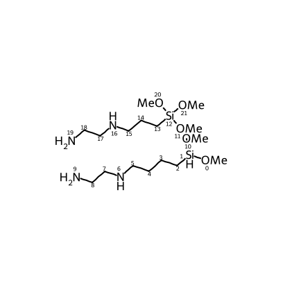 CO[SiH](CCCCNCCN)OC.CO[Si](CCCNCCN)(OC)OC